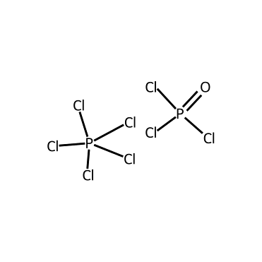 ClP(Cl)(Cl)(Cl)Cl.O=P(Cl)(Cl)Cl